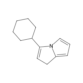 C1=C(C2CCCCC2)n2cccc2C1